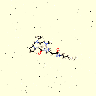 [13CH3]CN([13CH3])CCN([13CH3])CC1CCCN1CC(=O)NCCCC(=O)NCCCC(=O)O